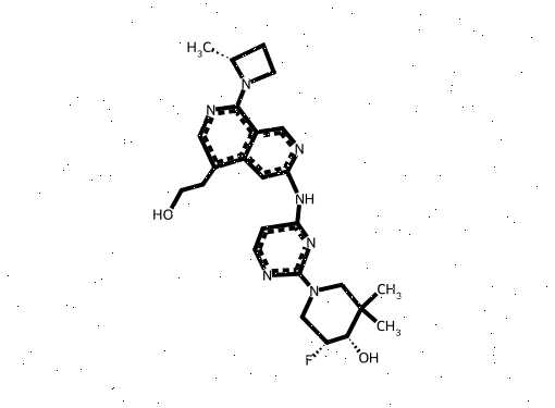 C[C@@H]1CCN1c1ncc(CCO)c2cc(Nc3ccnc(N4C[C@@H](F)[C@@H](O)C(C)(C)C4)n3)ncc12